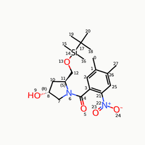 Cc1cc(C(=O)N2C[C@H](O)C[C@H]2CO[Si](C)(C)C(C)(C)C)c([N+](=O)[O-])cc1C